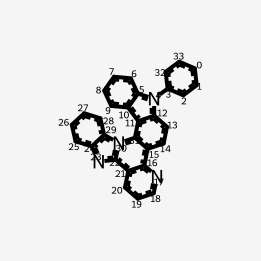 c1ccc(-n2c3ccccc3c3c2ccc2c4ncccc4c4nc5ccccc5n4c23)cc1